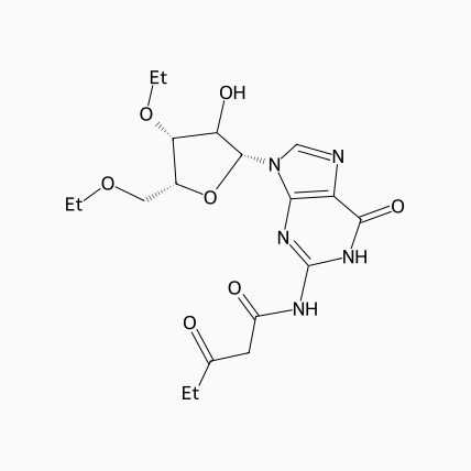 CCOC[C@H]1O[C@@H](n2cnc3c(=O)[nH]c(NC(=O)CC(=O)CC)nc32)C(O)[C@H]1OCC